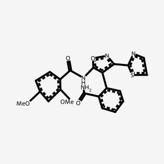 COc1ccc(C(=O)Nc2onc(-c3nccs3)c2-c2ccccc2C(N)=O)c(OC)c1